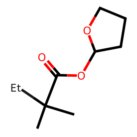 CCC(C)(C)C(=O)OC1CCCO1